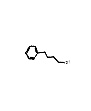 OCCCCc1[c]cccc1